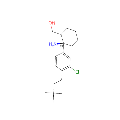 CC(C)(C)CCc1ccc([C@@]2(N)CCCCC2CO)cc1Cl